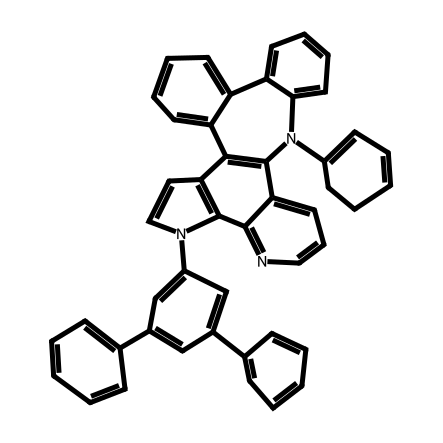 C1=CCCC(N2c3ccccc3-c3ccccc3-c3c2c2cccnc2c2c3ccn2-c2cc(-c3ccccc3)cc(-c3ccccc3)c2)=C1